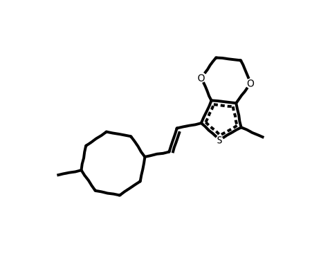 Cc1sc(/C=C/C2CCCC(C)CCC2)c2c1OCCO2